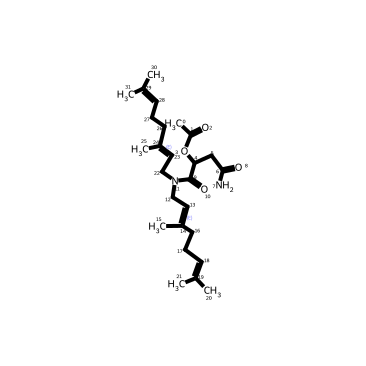 CC(=O)OC(CC(N)=O)C(=O)N(C/C=C(\C)CCC=C(C)C)C/C=C(\C)CCC=C(C)C